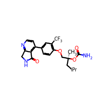 CC(C)C[C@@](C)(COc1ccc(-c2ccnc3c2C(=O)NC3)cc1C(F)(F)F)OC(N)=O